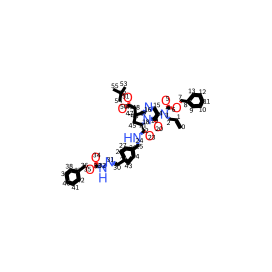 C=CCN(C(=O)OCc1ccccc1)c1cnc2n(c1=O)[C@@H](C(=O)NCc1ccc(C=NNC(=O)OCc3ccccc3)cc1)C[C@@]2(C)CC(=O)OC(C)(C)C